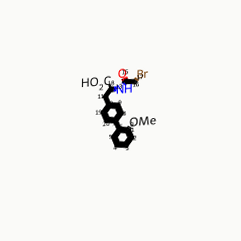 COc1ccccc1-c1ccc(C[C@H](NC(=O)CBr)C(=O)O)cc1